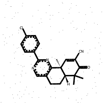 CC1(C)C(=O)C(C#N)=C[C@]2(C)c3nc(-c4ccc(Cl)cc4)ncc3CC[C@@H]12